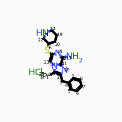 CC(C)c1c(Cc2ccccc2)nc2c(N)nc(SC3CCCNC3)cn12.Cl